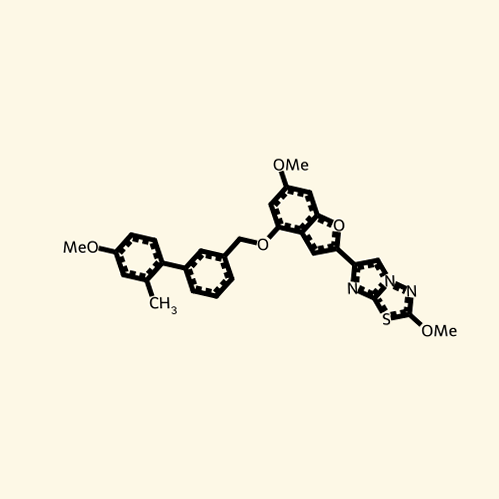 COc1ccc(-c2cccc(COc3cc(OC)cc4oc(-c5cn6nc(OC)sc6n5)cc34)c2)c(C)c1